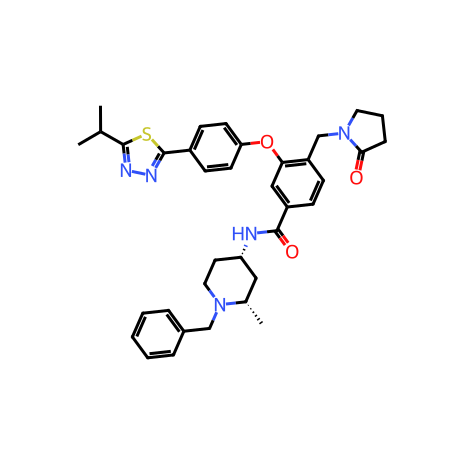 CC(C)c1nnc(-c2ccc(Oc3cc(C(=O)N[C@H]4CCN(Cc5ccccc5)[C@@H](C)C4)ccc3CN3CCCC3=O)cc2)s1